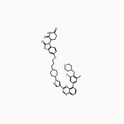 O=C1CCC(n2c(=O)oc3cc(OCCCN4CCC(n5cc(-c6cnc7cccc(-c8cc(F)c(CN9CCOCC9)c(F)c8)c7n6)cn5)CC4)ccc32)C(=O)N1